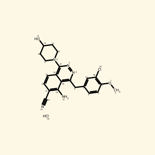 COc1ccc(Cc2nnc(N3CCC(O)CC3)c3ccc(C#N)c(N)c23)cc1Cl.Cl